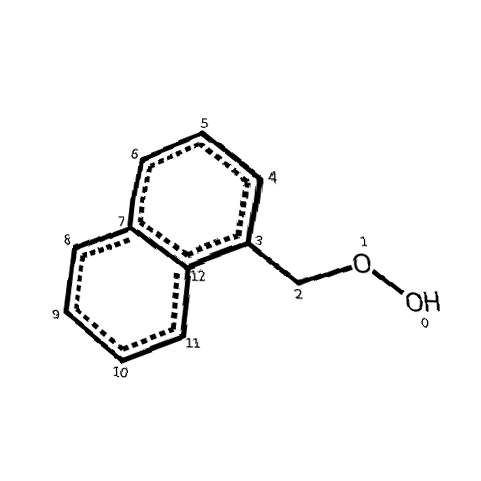 OOCc1cccc2ccccc12